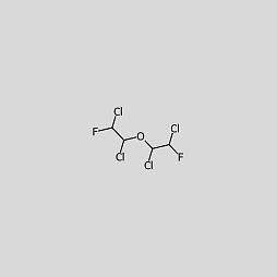 FC(Cl)C(Cl)OC(Cl)C(F)Cl